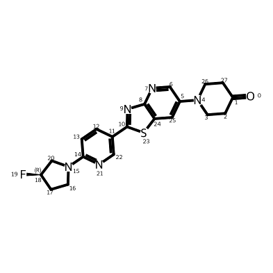 O=C1CCN(c2cnc3nc(-c4ccc(N5CC[C@@H](F)C5)nc4)sc3c2)CC1